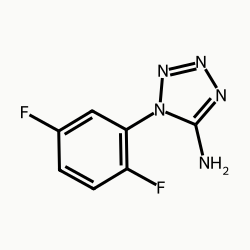 Nc1nnnn1-c1cc(F)ccc1F